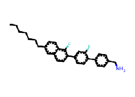 CCCCCCCc1ccc2c(F)c(-c3ccc(-c4ccc(CN)cc4)c(F)c3)ccc2c1